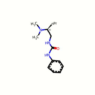 CCC[C@@H](CNC(=O)Nc1ccccc1)N(C)C